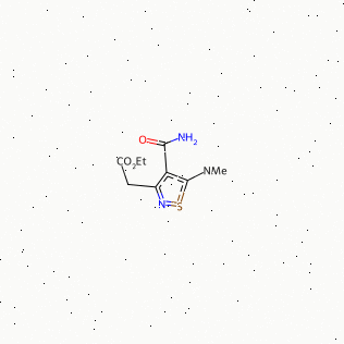 CCOC(=O)Cc1nsc(NC)c1C(N)=O